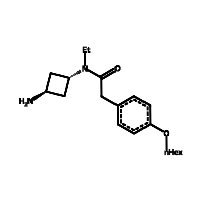 CCCCCCOc1ccc(CC(=O)N(CC)[C@H]2C[C@H](N)C2)cc1